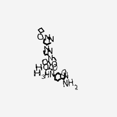 CC(O)(C(=O)Nc1ccc2c(N)noc2c1)C1OCCN(c2ccn(-c3cnnc(OC4CCC4)c3)n2)C1=O